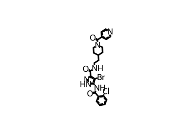 O=C(Nc1[nH]nc(C(=O)NCCC2CCN(C(=O)c3ccncc3)CC2)c1Br)c1ccccc1Cl